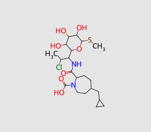 CSC1OC(C(NC(=O)C2CCC(CC3CC3)CCN2C(=O)O)C(C)Cl)C(O)C(O)C1O